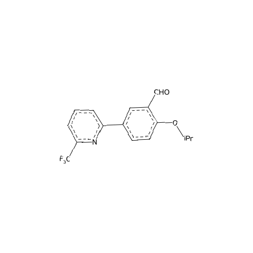 CC(C)Oc1ccc(-c2cccc(C(F)(F)F)n2)cc1C=O